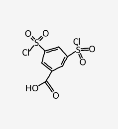 O=C(O)c1cc(S(=O)(=O)Cl)cc(S(=O)(=O)Cl)c1